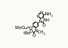 COCCOc1ccc(-n2c(=O)[nH]c3c(N)ncnc32)cc1N(C)C(=O)OC(C)(C)C